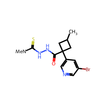 CNC(=S)NNC(=O)C1(c2cncc(Br)c2)CC(C)C1